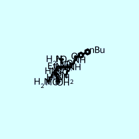 CCCCc1ccc(-c2ccc(C(=O)NCCC(=O)N[C@@H](CCCN)C(=O)N(C)[C@@H](CCC(N)=O)C(=O)N[C@@H](CC)C(=O)N[C@@H](CCCCN)C(=O)N[C@@H](N)B(O)O)cc2)cc1